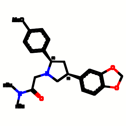 CCCCN(CCCC)C(=O)CN1C[C@H](c2ccc3c(c2)OCO3)C[C@@H]1c1ccc(OC)cc1